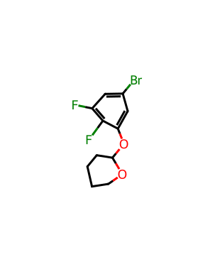 Fc1cc(Br)cc(OC2CCCCO2)c1F